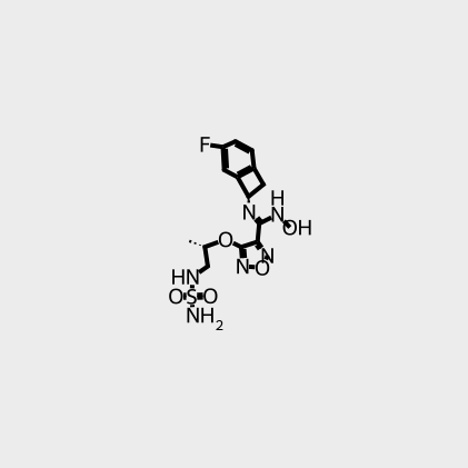 C[C@@H](CNS(N)(=O)=O)Oc1nonc1/C(=N/[C@H]1Cc2ccc(F)cc21)NO